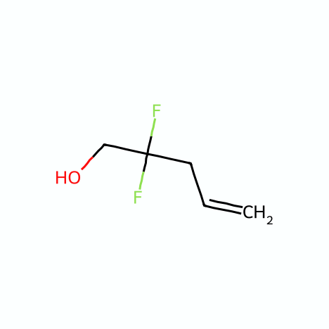 C=CCC(F)(F)CO